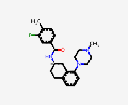 Cc1ccc(C(=O)N[C@@H]2CCc3cccc(N4CCN(C)CC4)c3C2)cc1F